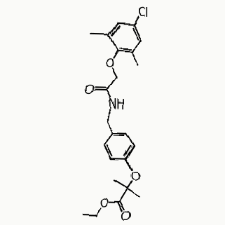 CCOC(=O)C(C)(C)Oc1ccc(CNC(=O)COc2c(C)cc(Cl)cc2C)cc1